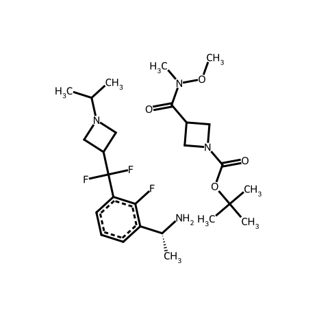 CC(C)N1CC(C(F)(F)c2cccc([C@@H](C)N)c2F)C1.CON(C)C(=O)C1CN(C(=O)OC(C)(C)C)C1